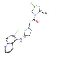 N#C[C@@H]1C[C@H](F)CN1C(=O)CN1CC[C@H](Nc2c(F)ccc3ncccc23)C1